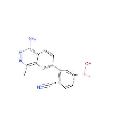 CB(O)c1ccc(C#N)c(-c2ccc3c(N)nnc(C)c3c2)c1